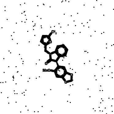 COc1cc2c(cc1[C@H]1C(=O)N(Cc3ccc(C(F)(F)F)o3)c3ccccc31)OCO2